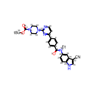 CCN(C(=O)c1ccc(-c2ccnc(N3CCN(C(=O)OC(C)(C)C)CC3)n2)cc1)c1ccc2[nH]cc(C#N)c2c1